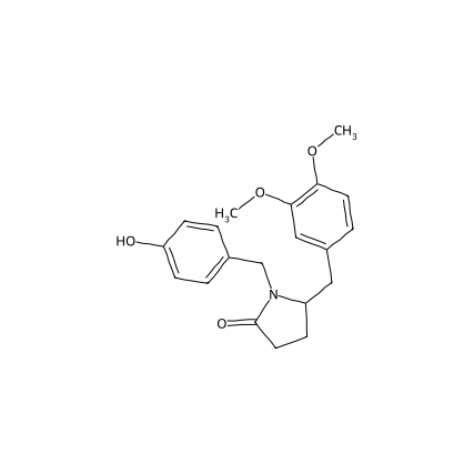 COc1ccc(CC2CCC(=O)N2Cc2ccc(O)cc2)cc1OC